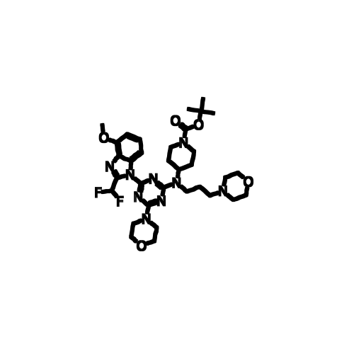 COc1cccc2c1nc(C(F)F)n2-c1nc(N2CCOCC2)nc(N(CCCN2CCOCC2)C2CCN(C(=O)OC(C)(C)C)CC2)n1